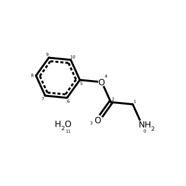 NCC(=O)Oc1ccccc1.O